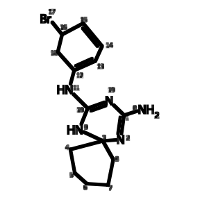 NC1=NC2(CCCCC2)NC(NC2=CC=CC(Br)C2)=N1